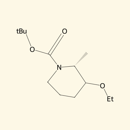 CCOC1CCCN(C(=O)OC(C)(C)C)[C@@H]1C